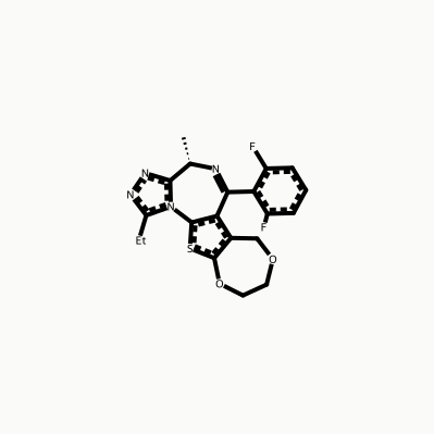 CCc1nnc2n1-c1sc3c(c1C(c1c(F)cccc1F)=N[C@H]2C)COCCO3